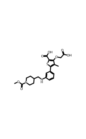 COC(=O)N1CCC(CNc2cccc(-c3sc(C(=O)O)c(OCC(=O)O)c3C)c2)CC1